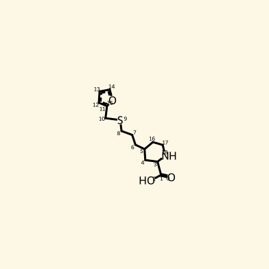 O=C(O)C1CC(CCCSCc2ccco2)CCN1